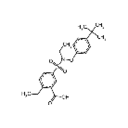 CCc1ccc(S(=O)(=O)N(CC)Oc2ccc(C(C)(C)C)cc2)cc1C(=O)O